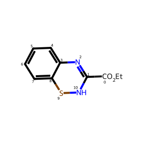 CCOC(=O)C1=Nc2ccccc2SN1